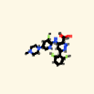 CN1CCN(c2cnc(Nc3cc(-c4c(F)cccc4F)nnc3C(=O)O)c(F)c2)CC1